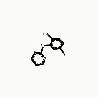 Oc1ccc(Br)cc1[Se]c1ccccn1